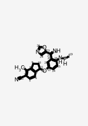 Cc1c(C#N)ccc2c1CCC2Oc1ccc(NPI)c(C(=N)c2cnco2)c1